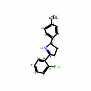 CC(C)(C)c1ccc(C2CCC(c3ccccc3F)=N2)cc1